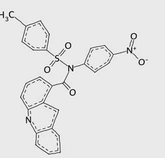 Cc1ccc(S(=O)(=O)N(C(=O)c2cccc3nc4ccccc4cc23)c2ccc([N+](=O)[O-])cc2)cc1